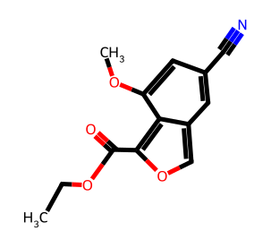 CCOC(=O)c1occ2cc(C#N)cc(OC)c12